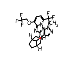 Cn1cc(N2C[C@H]3CC[C@@H](C2)C3Nc2nc3c(OCC(F)(F)F)ccc(C(F)(F)F)n3n2)cn1